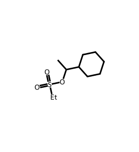 CCS(=O)(=O)OC(C)C1CCCCC1